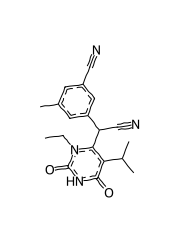 CCn1c(C(C#N)c2cc(C)cc(C#N)c2)c(C(C)C)c(=O)[nH]c1=O